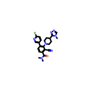 CN(C)C(=O)c1ccc(-c2ccc(F)nc2)c(N2CCC(c3nncn3C)CC2)c1C#N